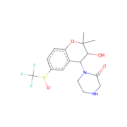 CC1(C)Oc2ccc([S+]([O-])C(F)(F)F)cc2C(N2CCNCC2=O)C1O